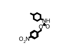 C[C]1CCC(NC(=O)OCc2ccc([N+](=O)[O-])cc2)CC1